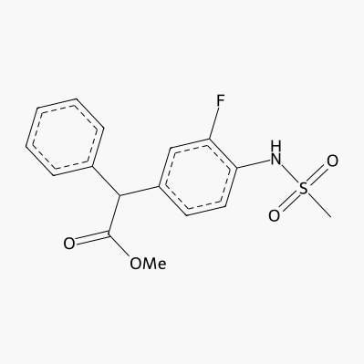 COC(=O)C(c1ccccc1)c1ccc(NS(C)(=O)=O)c(F)c1